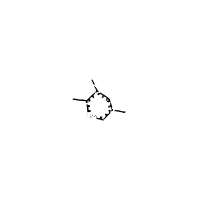 [CH2]c1cc(Cl)cnc1Cl